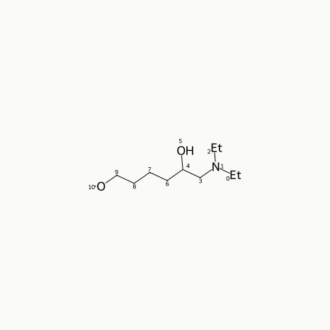 CCN(CC)CC(O)CCCC[O]